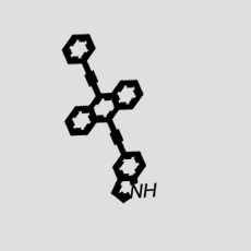 C(#Cc1c2ccccc2c(C#Cc2ccc3[nH]ccc3c2)c2ccccc12)c1ccccc1